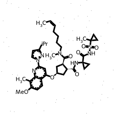 C/C=C\CCCCN(C)C(=O)[C@@H]1C[C@H](Oc2cc(-n3ccc(C(C)C)n3)nc3c(C)c(OC)ccc23)C[C@H]1C(=O)NC1(C(=O)NS(=O)(=O)C2(C)CC2)CC1